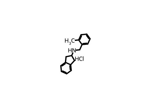 Cc1ccccc1CNC1Cc2ccccc2C1.Cl